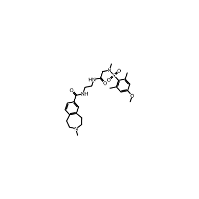 COc1cc(C)c(S(=O)(=O)N(C)CC(=O)NCCNC(=O)c2ccc3c(c2)CCN(C)CC3)c(C)c1